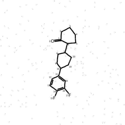 O=C1CCCCC1C1CCC(c2ccc(F)c(F)c2)CC1